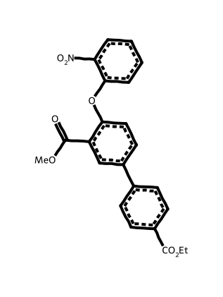 CCOC(=O)c1ccc(-c2ccc(Oc3ccccc3[N+](=O)[O-])c(C(=O)OC)c2)cc1